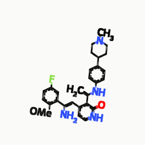 C=C(Nc1ccc(C2CCN(C)CC2)cc1)c1c(/C=C(\N)c2cc(F)ccc2OC)cc[nH]c1=O